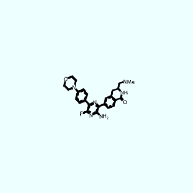 CNCC1Cc2cc(-c3nc(-c4ccc(N5CCOCC5)cc4)c(F)nc3N)ccc2C(=O)N1